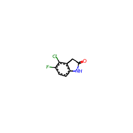 O=C1Cc2c(ccc(F)c2Cl)N1